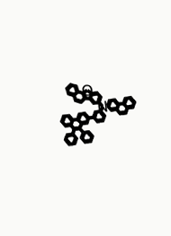 c1ccc(-c2c(-c3ccccc3)c3cc(-c4cccc(N(c5ccc6c(ccc7ccccc76)c5)c5ccc6oc7c8ccccc8ccc7c6c5)c4)ccc3c3ccccc23)cc1